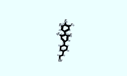 Fc1cc(-c2c(F)cc(C3CCC(CCBr)CC3)cc2F)cc(F)c1F